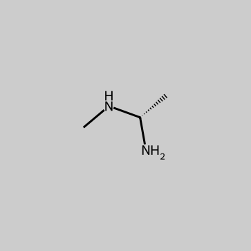 CN[C@H](C)N